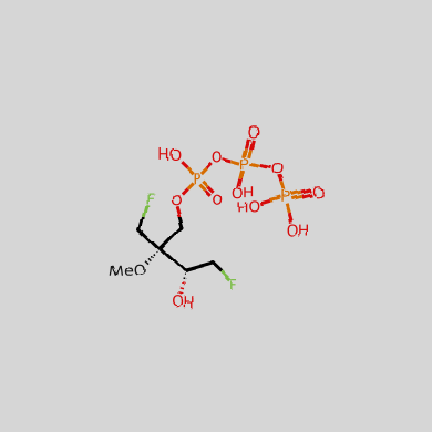 CO[C@](CF)(COP(=O)(O)OP(=O)(O)OP(=O)(O)O)[C@@H](O)CF